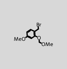 COCOc1cc(OC)ccc1CBr